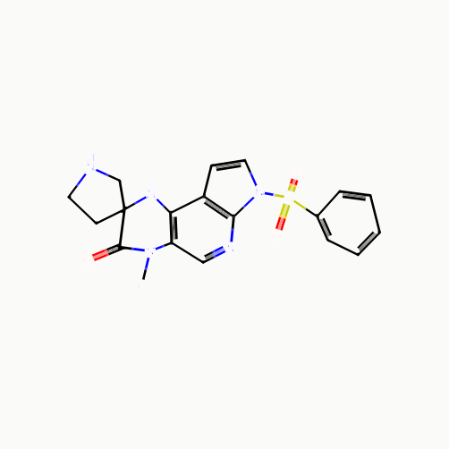 CN1C(=O)C2(CCNC2)Nc2c1cnc1c2ccn1S(=O)(=O)c1ccccc1